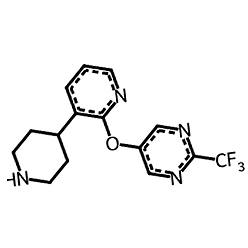 FC(F)(F)c1ncc(Oc2ncccc2C2CCNCC2)cn1